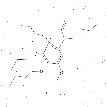 C=CC(CCCC)c1cc(OC)c(OCCCC)c(CCCC)c1CCCC